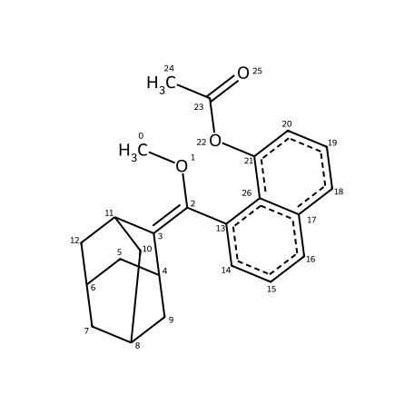 COC(=C1C2CC3CC(C2)CC1C3)c1cccc2cccc(OC(C)=O)c12